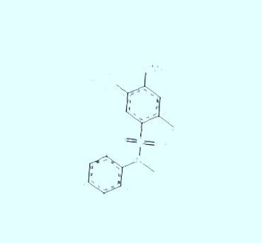 COc1cc(C)c(S(=O)(=O)N(C)c2ccccc2)cc1C(=O)O